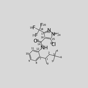 CC(CC(C)(C)C)c1ccccc1NC(=O)c1c(C(F)(F)F)nn(C)c1Cl